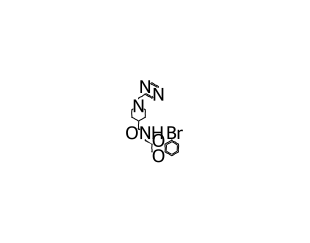 O=C(NC[C@@H]1COc2cccc(Br)c2O1)C1CCN(Cc2cnccn2)CC1